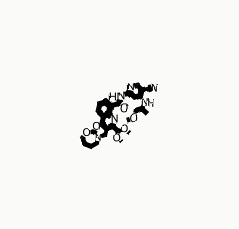 COCC(C)Nc1cc(NC(=O)c2cccc3cc(CN4CCCCOC4=O)c(C(OC)OC)nc23)ncc1C#N